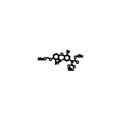 COCOc1ccc(Oc2c(Br)cc(N(C(=O)OC(C)(C)C)C(=O)OC(C)(C)C)cc2Br)cc1C(C)C